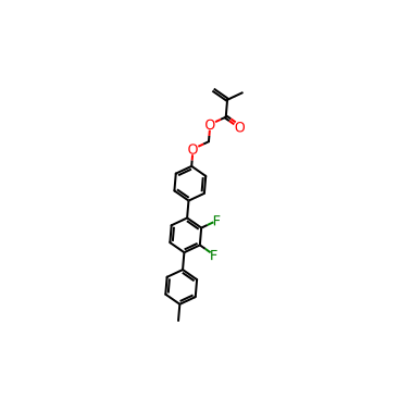 C=C(C)C(=O)OCOc1ccc(-c2ccc(-c3ccc(C)cc3)c(F)c2F)cc1